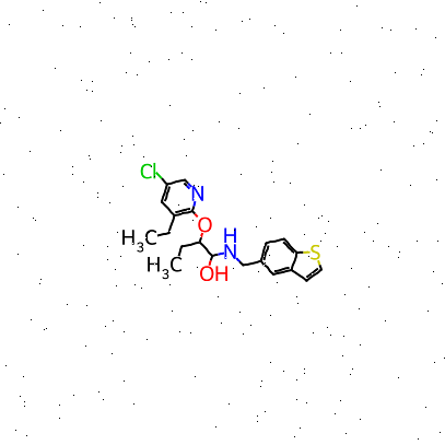 CCc1cc(Cl)cnc1OC(CC)C(O)NCc1ccc2sccc2c1